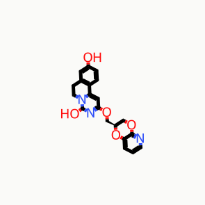 Oc1ccc2c(c1)CCN1C2=CC(OC[C@H]2COc3ncccc3O2)=NC1O